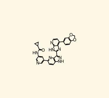 O=C(Nc1cncc(-c2ccc3[nH]nc(-c4nc5c(-c6ccc7c(c6)OCO7)ccnc5[nH]4)c3n2)c1)C1CC1